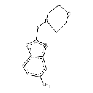 Cc1ccc2sc(SN3CCOCC3)nc2c1